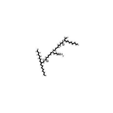 CCCCCCCCC(CCCCCCCC)COC(=O)CCCCCN(CCCN)CCCCCCCC(=O)OC(CC)CCCCCCCC